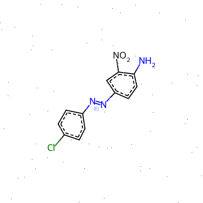 Nc1ccc(/N=N/c2ccc(Cl)cc2)cc1[N+](=O)[O-]